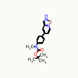 CN(C(=O)OC(C)(C)C)c1ccc(C2=CC3=CNSN3C=C2)cc1